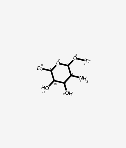 CCC1OC(OC(C)C)C(N)C(O)C1O